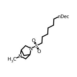 CCCCCCCCCCCCCCCCS(=O)(=O)N1CC2CC1CN2C